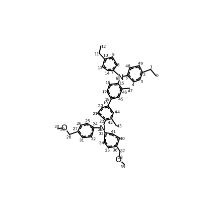 CCc1ccc(N(c2ccc(CC)cc2)c2ccc(-c3ccc(N(c4ccc(COC)cc4)c4ccc(COC)cc4)c(C)c3)cc2C)cc1